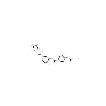 COC(=O)Nc1ccc(C(=O)Nc2cc(-c3nn4nc(C(C)(C)C)c(Cl)c4[nH]3)ccc2O)cc1